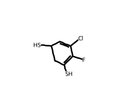 FC1=C(S)CC(S)C=C1Cl